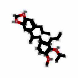 CCCc1cc2c(cc1C(C)Cc1ccc(OC)c(OC(C)C)c1CCC)OCO2